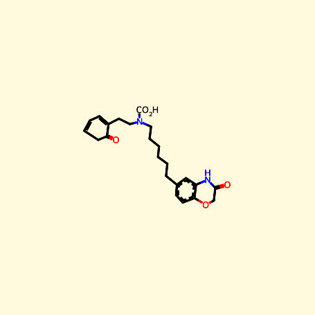 O=C1COc2ccc(CCCCCCN(CCC3=CC=CCC3=O)C(=O)O)cc2N1